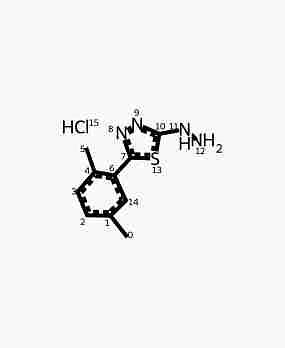 Cc1ccc(C)c(-c2nnc(NN)s2)c1.Cl